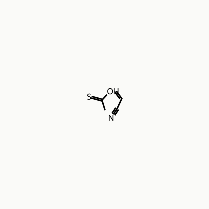 C=CC#N.CC(O)=S